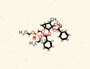 CCOP(=O)(COC12CC1C(C)C(C)(OC(=O)c1ccccc1)C2OC(=O)c1ccccc1)OCC